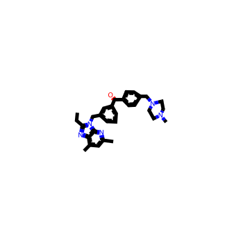 CCc1nc2c(C)cc(C)nc2n1Cc1cccc(C(=O)c2ccc(CN3CCN(C)CC3)cc2)c1